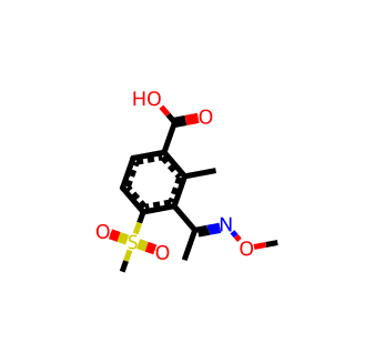 CON=C(C)c1c(S(C)(=O)=O)ccc(C(=O)O)c1C